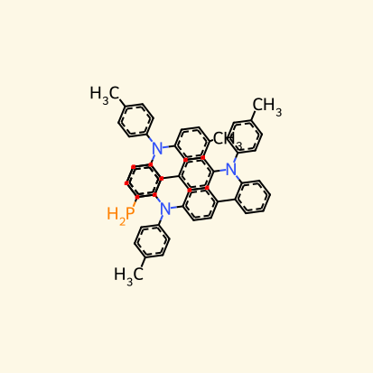 Cc1ccc(N(c2ccc(-c3ccccc3N(c3ccc(C)cc3)c3ccc(-c4ccccc4N(c4ccc(C)cc4)c4ccc(C)cc4)cc3)cc2)c2ccccc2P)cc1